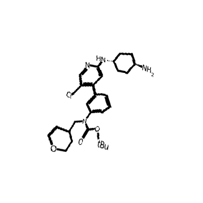 CC(C)(C)OC(=O)N(CC1CCOCC1)c1cccc(-c2cc(N[C@H]3CC[C@H](N)CC3)ncc2Cl)c1